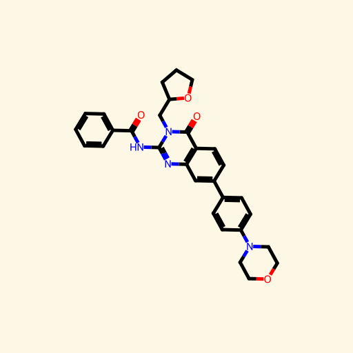 O=C(Nc1nc2cc(-c3ccc(N4CCOCC4)cc3)ccc2c(=O)n1CC1CCCO1)c1ccccc1